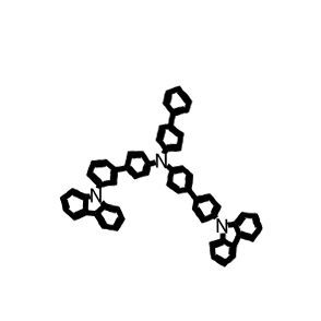 c1ccc(-c2ccc(N(c3ccc(-c4ccc(-n5c6ccccc6c6ccccc65)cc4)cc3)c3ccc(-c4cccc(-n5c6ccccc6c6ccccc65)c4)cc3)cc2)cc1